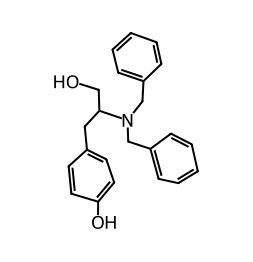 OCC(Cc1ccc(O)cc1)N(Cc1ccccc1)Cc1ccccc1